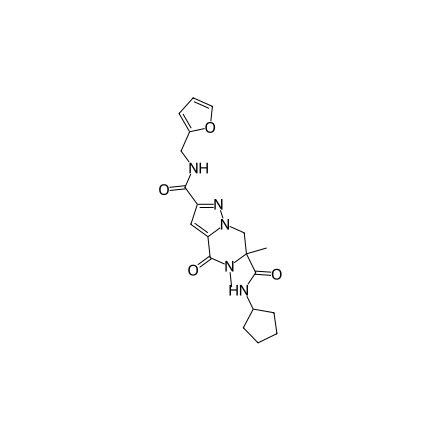 CN1C(=O)c2cc(C(=O)NCc3ccco3)nn2CC1(C)C(=O)NC1CCCC1